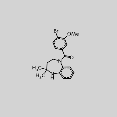 COc1cc(C(=O)N2CCC(C)(C)Nc3ccccc32)ccc1Br